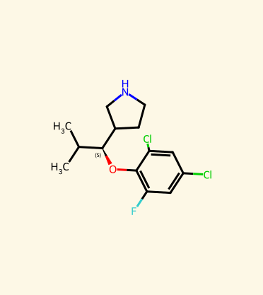 CC(C)[C@H](Oc1c(F)cc(Cl)cc1Cl)C1CCNC1